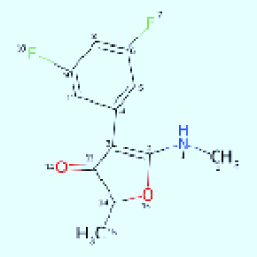 CNC1=C(c2cc(F)cc(F)c2)C(=O)C(C)O1